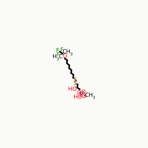 COP(=O)(O)OCC(O)CSSCCCCCCCCCOC(C)(C)C(F)(F)F